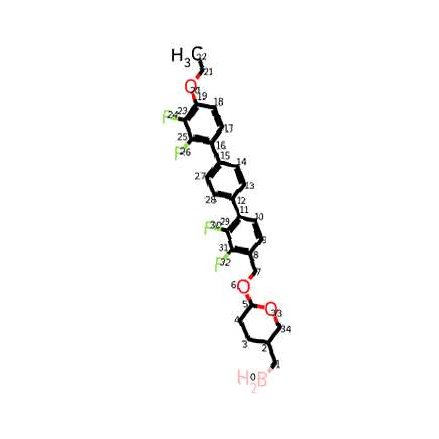 BCC1CCC(OCc2ccc(-c3ccc(-c4ccc(OCC)c(F)c4F)cc3)c(F)c2F)OC1